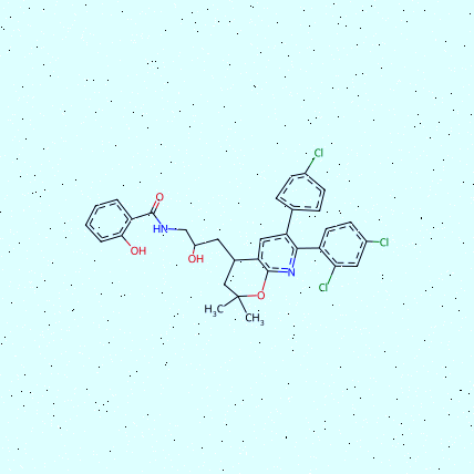 CC1(C)CC(CC(O)CNC(=O)c2ccccc2O)c2cc(-c3ccc(Cl)cc3)c(-c3ccc(Cl)cc3Cl)nc2O1